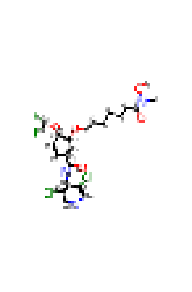 CON(C)C(=O)CCCCCCOc1cc(C(=O)Nc2c(Cl)cncc2Cl)ccc1OC(F)F